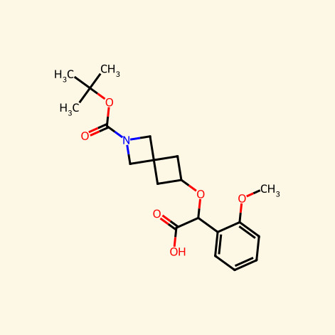 COc1ccccc1C(OC1CC2(C1)CN(C(=O)OC(C)(C)C)C2)C(=O)O